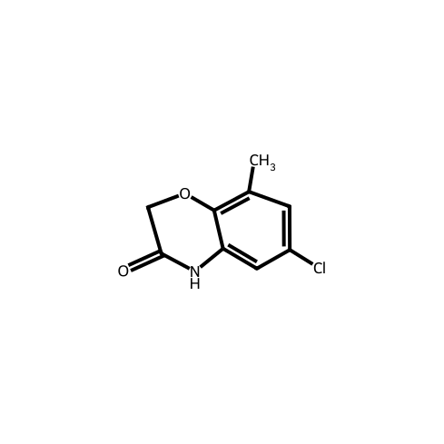 Cc1cc(Cl)cc2c1OCC(=O)N2